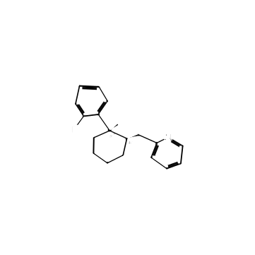 O[C@]1(c2ccccc2F)CCCC[C@@H]1Cc1ccccn1